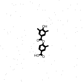 Cc1cc(C(=O)O)ccc1OC(=O)c1cc(C)c(O)c(C)c1